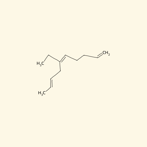 C=CCCC=C(CC)CC=CC